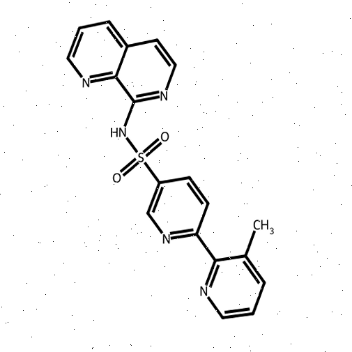 Cc1cccnc1-c1ccc(S(=O)(=O)Nc2nccc3cccnc23)cn1